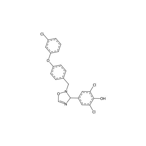 Oc1c(Cl)cc(C2N=CON2Cc2ccc(Oc3cccc(Cl)c3)cc2)cc1Cl